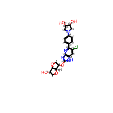 O[C@@H]1CO[C@H]2C1OC[C@H]2Oc1nc2nc(-c3ccc(N4C[C@@H](O)[C@@H](O)C4)cc3)c(Cl)cc2[nH]1